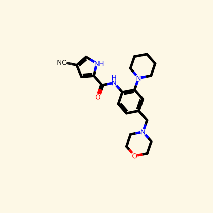 N#Cc1c[nH]c(C(=O)Nc2ccc(CN3CCOCC3)cc2N2CCCCC2)c1